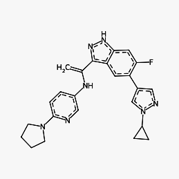 C=C(Nc1ccc(N2CCCC2)nc1)c1n[nH]c2cc(F)c(-c3cnn(C4CC4)c3)cc12